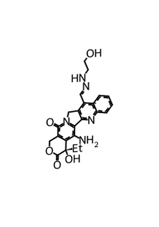 CC[C@@]1(O)C(=O)OCc2c1c(N)c1n(c2=O)Cc2c-1nc1ccccc1c2/C=N/NCCO